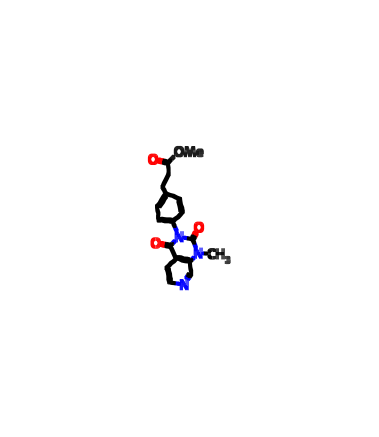 COC(=O)CCc1ccc(-n2c(=O)c3ccncc3n(C)c2=O)cc1